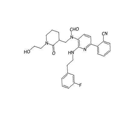 N#Cc1ccccc1-c1ccc(N(C=O)CC2CCCN(CCO)C2=O)c(NCCc2cccc(F)c2)n1